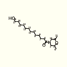 CC1CN(C(=O)CCCCCCCCCCCCO)CC(C)O1